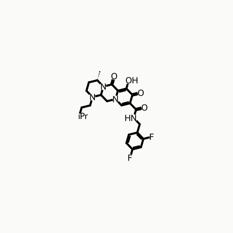 CC(C)CCN1CC[C@H](C)N2C(=O)c3c(O)c(=O)c(C(=O)NCc4ccc(F)cc4F)cn3CC12